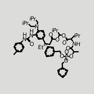 CC[C@@H](CC(=O)OC(OC(=O)C(NC(=O)C(C)OP(=O)(OCc1ccccc1)OCc1ccccc1)C(C)C)C(C)C)c1ccc(N(CC(C)C)CC(C)C)c(NC(=O)Nc2ccc(C)cc2)c1